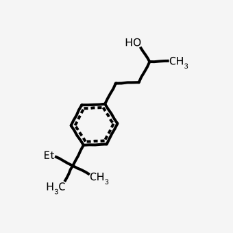 CCC(C)(C)c1ccc(CCC(C)O)cc1